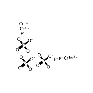 O=P([O-])([O-])[O-].O=P([O-])([O-])[O-].O=P([O-])([O-])[O-].[Cr+3].[Cr+3].[Cr+3].[Cr+3].[F-].[F-].[F-]